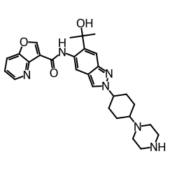 CC(C)(O)c1cc2nn(C3CCC(N4CCNCC4)CC3)cc2cc1NC(=O)c1coc2cccnc12